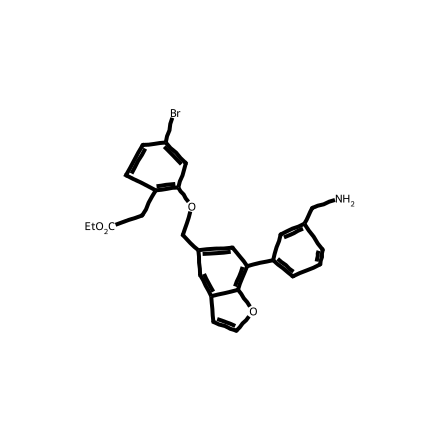 CCOC(=O)Cc1ccc(Br)cc1OCc1cc(-c2cccc(CN)c2)c2occc2c1